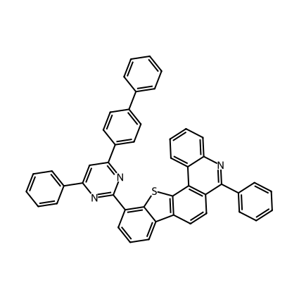 c1ccc(-c2ccc(-c3cc(-c4ccccc4)nc(-c4cccc5c4sc4c5ccc5c(-c6ccccc6)nc6ccccc6c54)n3)cc2)cc1